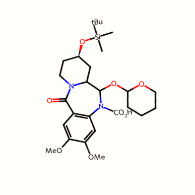 COc1cc2c(cc1OC)N(C(=O)O)C(OC1CCCCO1)C1C[C@H](O[Si](C)(C)C(C)(C)C)CCN1C2=O